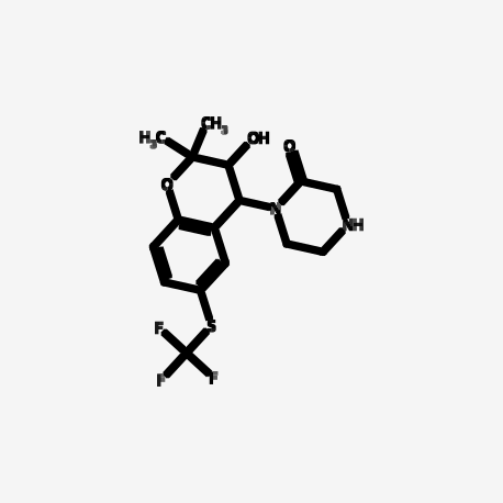 CC1(C)Oc2ccc(SC(F)(F)F)cc2C(N2CCNCC2=O)C1O